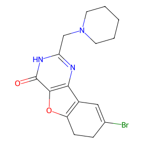 O=c1[nH]c(CN2CCCCC2)nc2c3c(oc12)CCC(Br)=C3